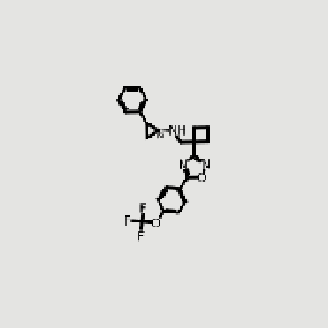 FC(F)(F)Oc1ccc(-c2nc(C3(CN[C@H]4CC4c4ccccc4)CCC3)no2)cc1